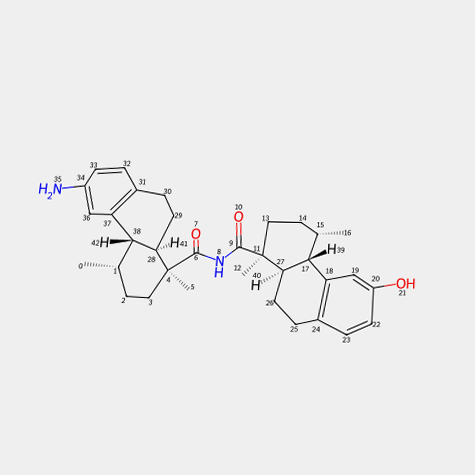 C[C@H]1CC[C@](C)(C(=O)NC(=O)[C@@]2(C)CC[C@H](C)[C@@H]3c4cc(O)ccc4CC[C@H]32)[C@@H]2CCc3ccc(N)cc3[C@H]21